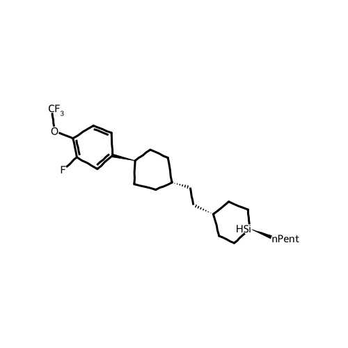 CCCCC[Si@H]1CC[C@H](CC[C@H]2CC[C@H](c3ccc(OC(F)(F)F)c(F)c3)CC2)CC1